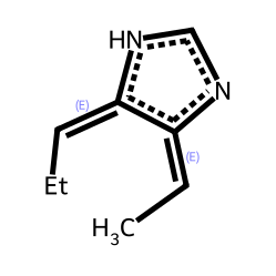 C/C=c1/nc[nH]/c1=C/CC